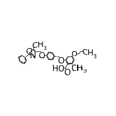 CCCOc1cc(C)c(C(=O)O)c(OCc2ccc(OCc3nc(-c4ccccc4)oc3C)cc2)c1